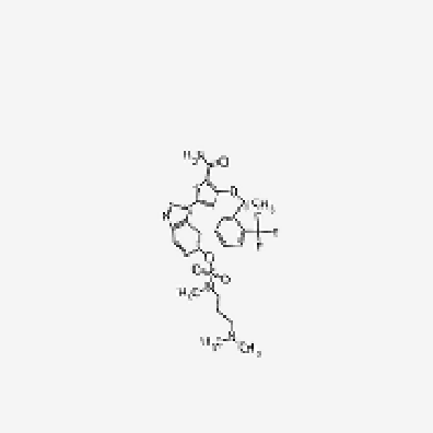 C[C@@H](Oc1cc(-n2cnc3ccc(OS(=O)(=O)N(C)CCCN(C)C)cc32)sc1C(N)=O)c1ccccc1C(F)(F)F